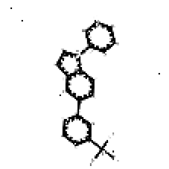 FC(F)(F)c1cccc(-c2ccc3c(ccn3-c3cccnc3)c2)c1